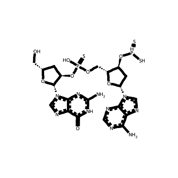 Nc1nc2c(ncn2[C@@H]2O[C@H](CO)C[C@H]2OP(O)(=S)OC[C@H]2O[C@@H](n3cnc4c(N)ncnc43)C[C@@H]2O[PH](=S)S)c(=O)[nH]1